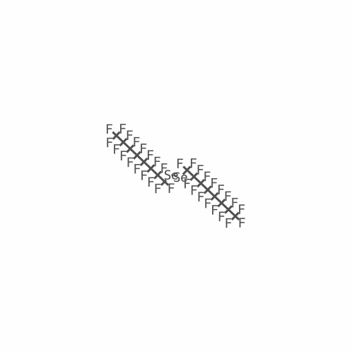 FC(F)(F)C(F)(F)C(F)(F)C(F)(F)C(F)(F)C(F)(F)C(F)(F)C(F)(F)[Se][Se]C(F)(F)C(F)(F)C(F)(F)C(F)(F)C(F)(F)C(F)(F)C(F)(F)C(F)(F)F